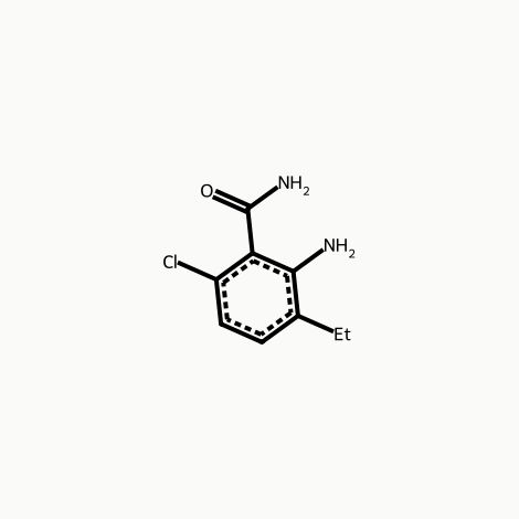 CCc1ccc(Cl)c(C(N)=O)c1N